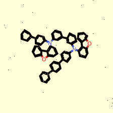 c1ccc(-c2ccc(-c3ccc(N(c4cccc(-c5cccc(N(c6ccc(-c7ccccc7)cc6)c6cccc7oc8ccccc8c67)c5)c4)c4cccc5oc6ccccc6c45)cc3)cc2)cc1